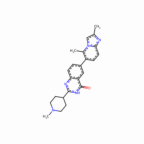 Cc1cn2c(C)c(-c3ccc4nc(C5CCN(C)CC5)[nH]c(=O)c4c3)ccc2n1